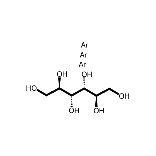 OC[C@@H](O)[C@@H](O)[C@H](O)[C@H](O)CO.[Ar].[Ar].[Ar]